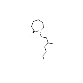 CC(C)CCCC(C)CCN1CCCCCC1=O